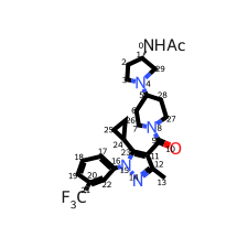 CC(=O)N[C@H]1CCN(C2CCN(C(=O)c3c(C)nn(-c4cccc(C(F)(F)F)c4)c3C3CC3)CC2)C1